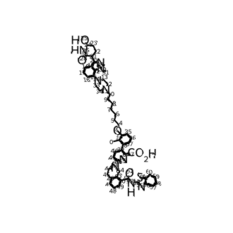 Cc1c(OCCCCCCCN2CCN(c3cccc4c(C5CCC(O)NC5=O)nn(C)c34)CC2)cccc1-c1ccc(N2CCc3cccc(C(=O)Nc4nc5ccccc5s4)c3C2)nc1C(=O)O